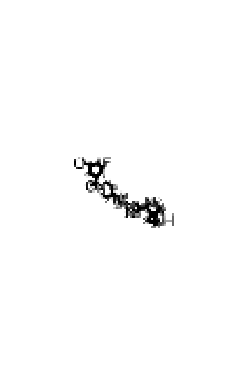 O=C(c1cc(F)cc(Cl)c1)N1CCC(N2C[C](n3cc(-c4ncnc5[nH]ccc45)cn3)C2)CC1